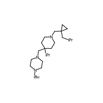 CCC(C)N1CCN(CC2(C(C)C)CCN(CC3(CC(C)C)CC3)CC2)CC1